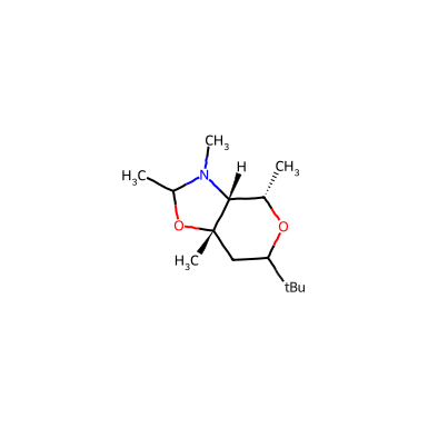 CC1O[C@@]2(C)CC(C(C)(C)C)O[C@@H](C)[C@H]2N1C